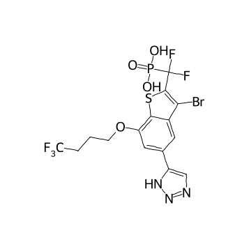 O=P(O)(O)C(F)(F)c1sc2c(OCCCC(F)(F)F)cc(-c3cnn[nH]3)cc2c1Br